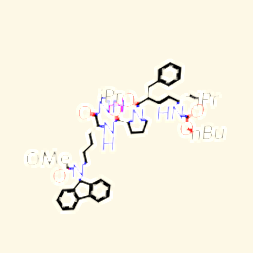 CCCCOC(=O)N[C@H](/C=C/[C@H](Cc1ccccc1)C(=O)N1CCC[C@H]1C(=O)N[C@@H](CCCCN(C(=O)OC)C1c2ccccc2-c2ccccc21)C(=O)NC(C)C)CC(C)C